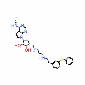 CNc1ncnc2c1ccn2[C@@H]1C[C@H](CNCCCNCCc2cccc(Sc3ccccc3)c2)[C@@H](O)[C@H]1O